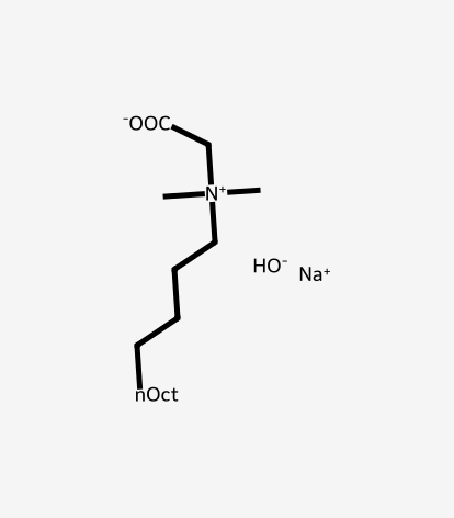 CCCCCCCCCCCC[N+](C)(C)CC(=O)[O-].[Na+].[OH-]